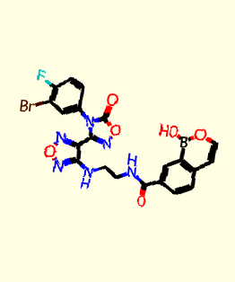 O=C(NCCNc1nonc1-c1noc(=O)n1-c1ccc(F)c(Br)c1)c1ccc2c(c1)B(O)OC=C2